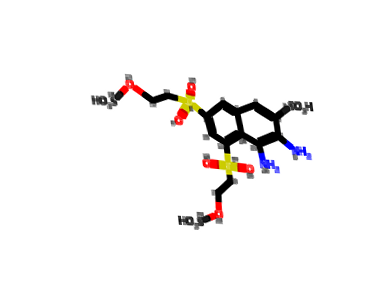 Nc1c(S(=O)(=O)O)cc2cc(S(=O)(=O)CCOS(=O)(=O)O)cc(S(=O)(=O)CCOS(=O)(=O)O)c2c1N